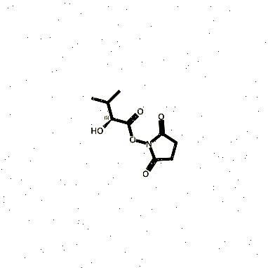 CC(C)[C@H](O)C(=O)ON1C(=O)CCC1=O